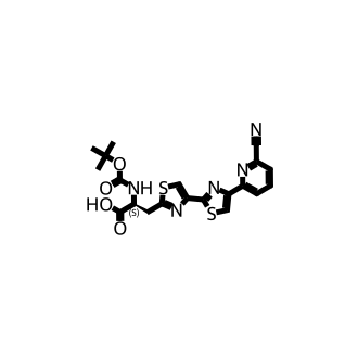 CC(C)(C)OC(=O)N[C@@H](Cc1nc(-c2nc(-c3cccc(C#N)n3)cs2)cs1)C(=O)O